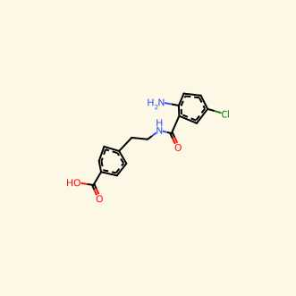 Nc1ccc(Cl)cc1C(=O)NCCc1ccc(C(=O)O)cc1